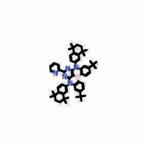 CC(C)(C)c1ccc2c(c1)N(c1ccc3c(c1)C(C)(C)CCC3(C)C)c1nc(-c3ccccn3)nc3c1B2c1ccc(C(C)(C)C)cc1N3c1ccc2c(c1)C(C)(C)CCC2(C)C